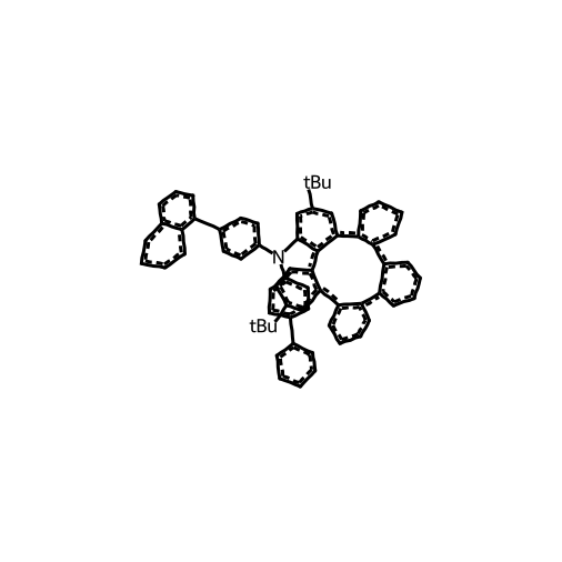 CC(C)(C)c1ccc2c(c1)c1ccccc1c1ccccc1c1ccccc1c1cc(C(C)(C)C)cc(N(c3ccc(-c4ccccc4)cc3)c3ccc(-c4cccc5ccccc45)cc3)c21